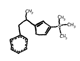 CC(Cc1ccccc1)C1=CC([Si](C)(C)C)=CC1